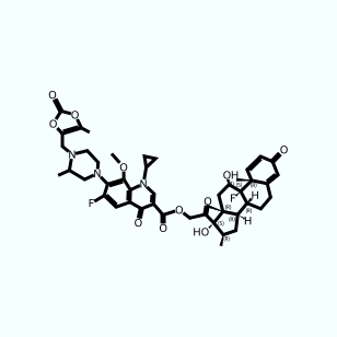 COc1c(N2CCN(Cc3oc(=O)oc3C)C(C)C2)c(F)cc2c(=O)c(C(=O)OCC(=O)[C@]3(O)[C@H](C)C[C@@H]4[C@H]5CCC6=CC(=O)C=C[C@@]6(C)[C@]5(F)[C@H](O)C[C@]43C)cn(C3CC3)c12